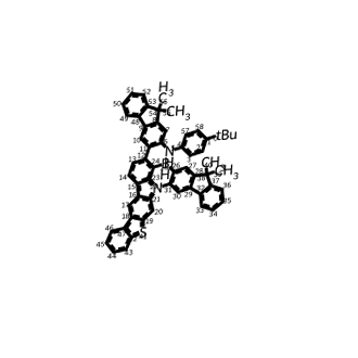 CC(C)(C)c1ccc(Nc2cc3c(cc2-c2ccc4c5cc6c(cc5n5c4c2Bc2cc4c(cc2-5)-c2ccccc2C4(C)C)sc2ccccc26)-c2ccccc2C3(C)C)cc1